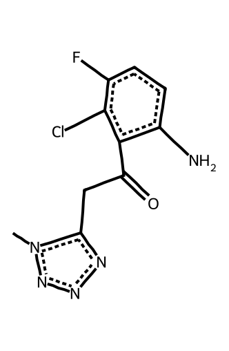 Cn1nnnc1CC(=O)c1c(N)ccc(F)c1Cl